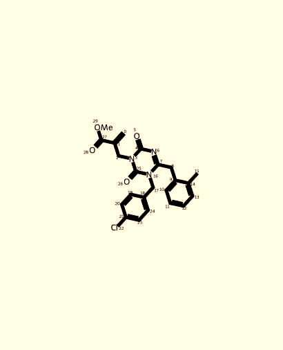 C=C(Cn1c(=O)nc(Cc2ccccc2C)n(Cc2ccc(Cl)cc2)c1=O)C(=O)OC